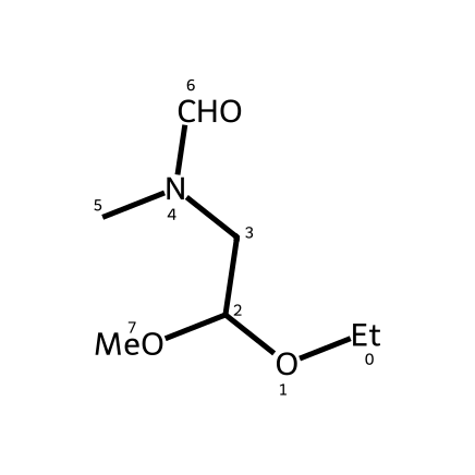 CCOC(CN(C)C=O)OC